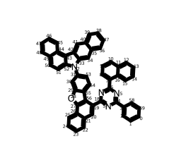 c1ccc(-c2nc(-c3cccc4ccccc34)nc(-c3cc4ccccc4c4oc5cc(-n6c7cc8ccccc8cc7c7c8ccccc8ccc76)ccc5c34)n2)cc1